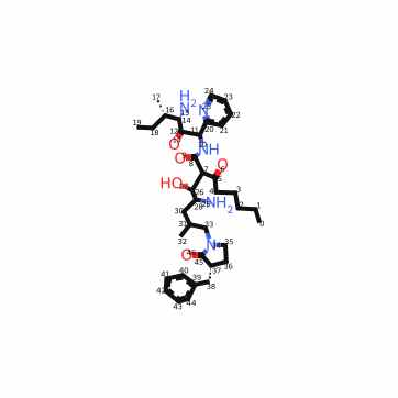 CCCCCC(=O)C(C(=O)NC(C(=O)[C@@H](N)[C@@H](C)CC)c1ccccn1)C(O)C(N)CC(C)CN1CC[C@H](Cc2ccccc2)C1=O